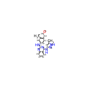 Cc1cc(Nc2nc(Nc3ccc(CC=O)c(C)c3)nc3ccccc23)n[nH]1